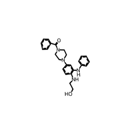 O=C(c1ccccc1)N1CCN(c2ccc(NCCO)c(Nc3ccccc3)c2)CC1